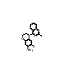 COc1cc2c(cc1F)N(c1nc(C)nc3ccccc13)CCO2